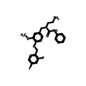 COc1cc(CN(CCN)C(=O)Nc2ccccc2)ccc1OCc1ccc(F)cc1F